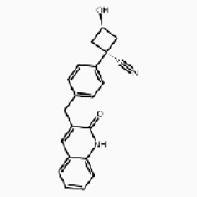 N#C[C@]1(c2ccc(Cc3cc4ccccc4[nH]c3=O)cc2)C[C@@H](O)C1